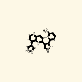 Cc1cccc(-c2n[nH]cc2-c2ccc3nccc(-c4cn[nH]c4)c3n2)n1